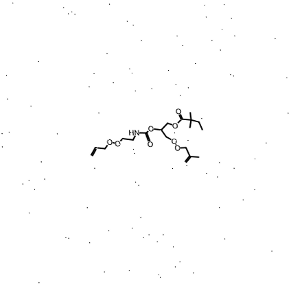 C=CCOOCCNC(=O)OC(COOCC(=C)C)COC(=O)C(C)(C)CC